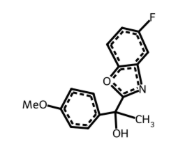 COc1ccc(C(C)(O)c2nc3cc(F)ccc3o2)cc1